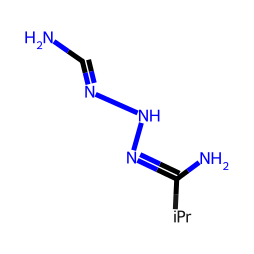 CC(C)/C(N)=N/N/N=C/N